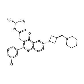 C[C@@H](NC(=O)Cn1c(-c2cccc(Cl)c2)nc2ccc([C@H]3C[C@H](CN4CCCCC4)C3)cc2c1=O)C(F)(F)F